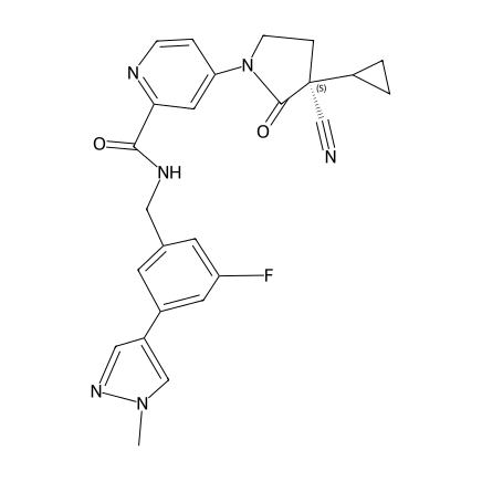 Cn1cc(-c2cc(F)cc(CNC(=O)c3cc(N4CC[C@@](C#N)(C5CC5)C4=O)ccn3)c2)cn1